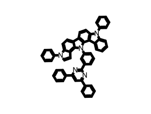 c1ccc(-c2cc(-c3ccccc3)nc(-c3cccc(-n4c5c(ccc6c5ccn6-c5ccccc5)c5ccc6c(c7ccccc7n6-c6ccccc6)c54)c3)n2)cc1